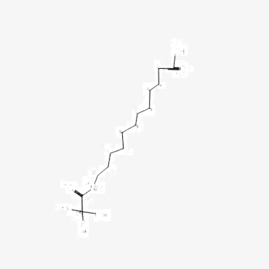 O=C(O)CCCCCCCCCCCNC(=O)C(F)(F)F